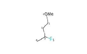 [CH2]OCCC(C)F